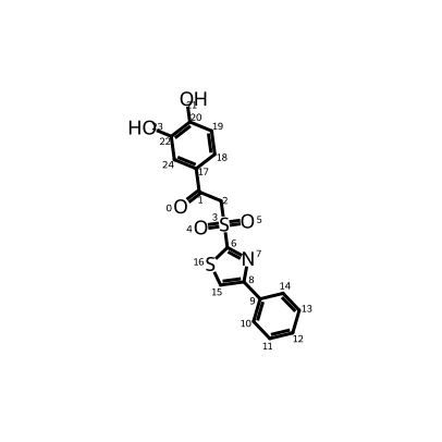 O=C(CS(=O)(=O)c1nc(-c2ccccc2)cs1)c1ccc(O)c(O)c1